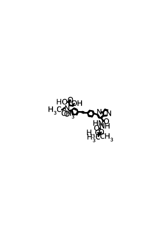 CC(C)CN(C(=O)c1ccc(C#Cc2ccc(-c3cc(C(=O)NNC(=O)OC(C)(C)C)c4cnccc4n3)cc2)cc1)C(CO)C(=O)O